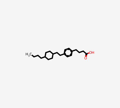 CCCCC1CCC(CCc2ccc(CCCC(=O)O)cc2)CC1